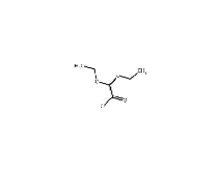 CCOC(OCC)C(=O)Cl